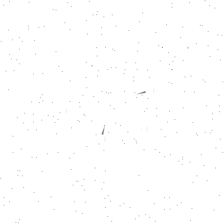 O[C@@H]1[C@@H](O)[C@H](S)SC[C@H]1O